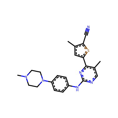 Cc1cnc(Nc2ccc(N3CCN(C)CC3)cc2)nc1-c1cc(C)c(C#N)s1